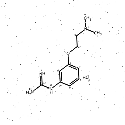 CN(C)CCOc1cccc(NC(=N)N)c1.Cl